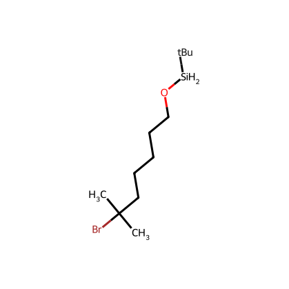 CC(C)(Br)CCCCCO[SiH2]C(C)(C)C